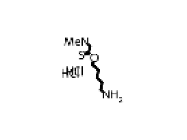 CNCC(=S)OCCCCCN.Cl.Cl